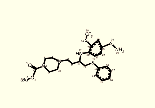 CC(C)(C)OC(=O)N1CCN(CCC(CSc2ccccc2)Nc2ccc(SN)cc2SC(F)(F)F)CC1